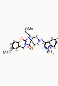 COCCN1C(=O)N(Cc2cccc(OC)c2)C(=O)C12CCN(Cc1cn(C)c3ccccc13)CC2